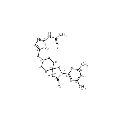 CC(=O)Nc1ncc(CN2CCC3(CC2)CN(c2cc(C)nc(C)c2)C(=O)N3)s1